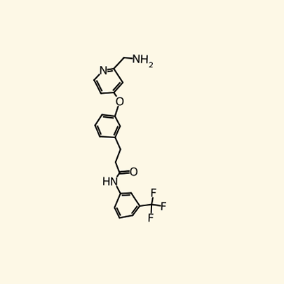 NCc1cc(Oc2cccc(CCC(=O)Nc3cccc(C(F)(F)F)c3)c2)ccn1